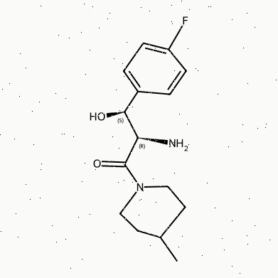 CC1CCN(C(=O)[C@H](N)[C@@H](O)c2ccc(F)cc2)CC1